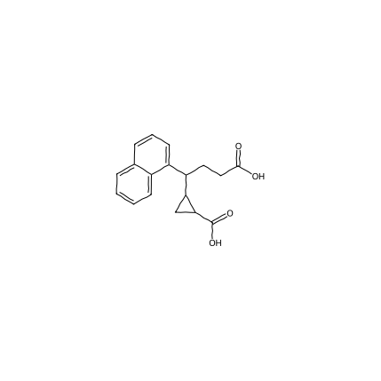 O=C(O)CCC(c1cccc2ccccc12)C1CC1C(=O)O